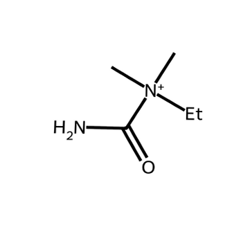 [CH2]C[N+](C)(C)C(N)=O